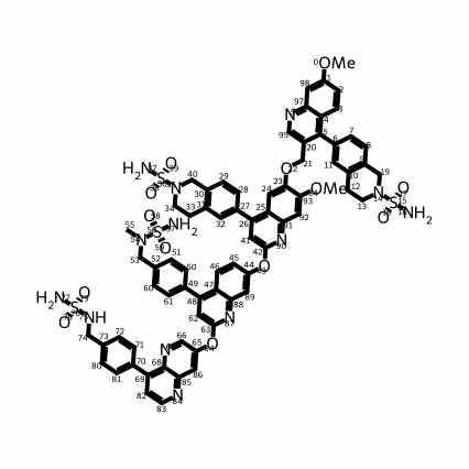 COc1ccc2c(-c3ccc4c(c3)CCN(S(N)(=O)=O)C4)c(COc3cc4c(-c5ccc6c(c5)CCN(S(N)(=O)=O)C6)cc(Oc5ccc6c(-c7ccc(CN(C)S(N)(=O)=O)cc7)cc(Oc7cnc8c(-c9ccc(CNS(N)(=O)=O)cc9)ccnc8c7)nc6c5)nc4cc3OC)cnc2c1